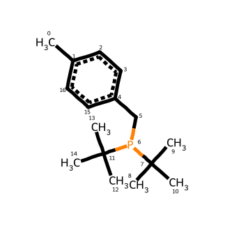 Cc1ccc(CP(C(C)(C)C)C(C)(C)C)cc1